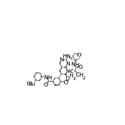 C=CC(=O)N[C@H]1COC[C@H]1Nc1ncc2cc(-c3cc(C(=O)Nc4cccc(C(C)(C)C)c4)ccc3Cl)c(=O)n(C)c2n1